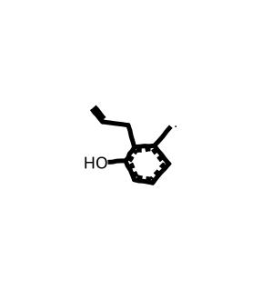 [CH2]c1cccc(O)c1CC=C